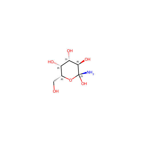 N[C@@]1(O)O[C@H](CO)[C@H](O)[C@H](O)[C@H]1O